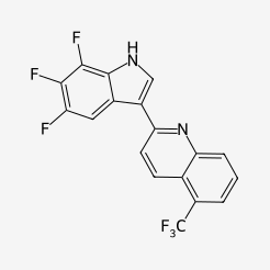 Fc1cc2c(-c3ccc4c(C(F)(F)F)cccc4n3)c[nH]c2c(F)c1F